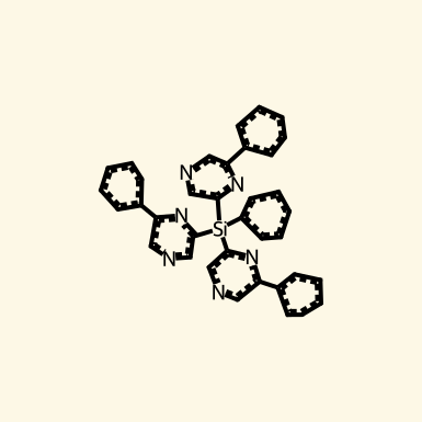 c1ccc(-c2cncc([Si](c3ccccc3)(c3cncc(-c4ccccc4)n3)c3cncc(-c4ccccc4)n3)n2)cc1